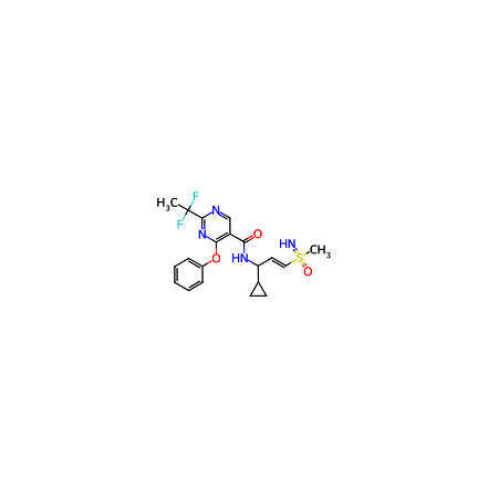 CC(F)(F)c1ncc(C(=O)NC(/C=C/S(C)(=N)=O)C2CC2)c(Oc2ccccc2)n1